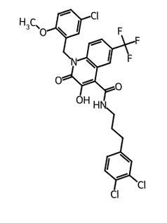 COc1ccc(Cl)cc1Cn1c(=O)c(O)c(C(=O)NCCCc2ccc(Cl)c(Cl)c2)c2cc(C(F)(F)F)ccc21